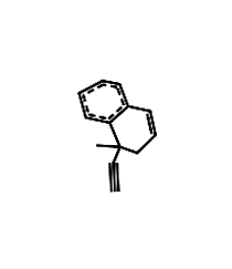 C#CC1(C)CC=Cc2ccccc21